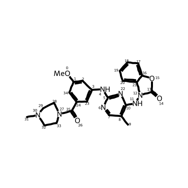 COc1cc(Nc2ncc(C)c(Nn3c(=O)oc4ccccc43)n2)cc(C(=O)N2CCN(C)CC2)c1